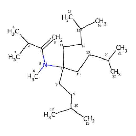 C=C(C(C)C)N(C)C(CCC(C)C)(CCC(C)C)CCC(C)C